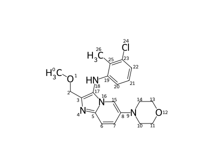 COCc1nc2ccc(N3CCOCC3)cn2c1Nc1cccc(Cl)c1C